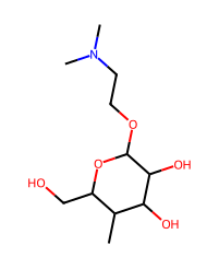 CC1C(CO)OC(OCCN(C)C)C(O)C1O